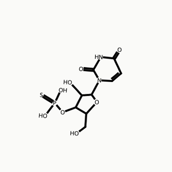 O=c1ccn(C2OC(CO)C(OP(O)(O)=S)C2O)c(=O)[nH]1